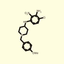 COc1ccc(CN2CCC(Nc3ccc(Cl)c(N)c3[N+](=O)[O-])CC2)cc1